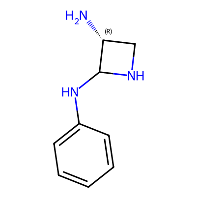 N[C@@H]1CNC1Nc1ccccc1